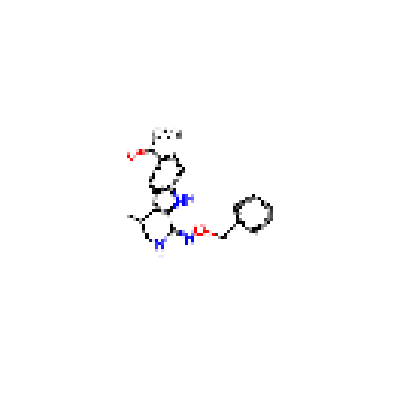 COC(=O)c1ccc2[nH]c3c(c2c1)C(C)CN/C3=N/OCc1ccccc1